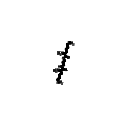 NCCCCC(N)C(=O)[N]CCCNC(=O)C(N)CCCCN